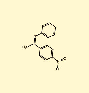 C/C(=N/c1ccccc1)c1ccc([N+](=O)[O-])cc1